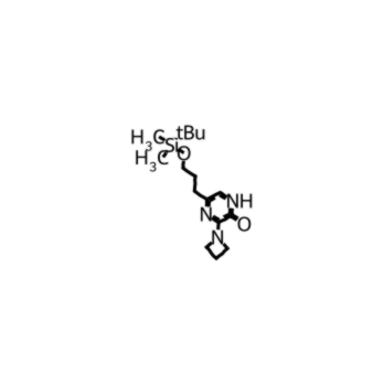 CC(C)(C)[Si](C)(C)OCCCc1c[nH]c(=O)c(N2CCC2)n1